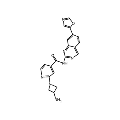 NC1CN(c2cc(C(=O)Nc3ncc4ccc(-c5cnco5)cc4n3)ccn2)C1